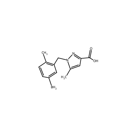 Bc1ccc(C)c(Cn2nc(C(=O)O)cc2C)c1